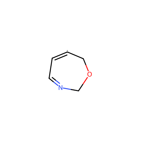 [C]1=CC=NCOC1